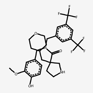 COc1cc(CN(Cc2cc(C(F)(F)F)cc(C(F)(F)F)c2)C(=O)C2(CC3CCOCC3)CCNC2)ccc1O